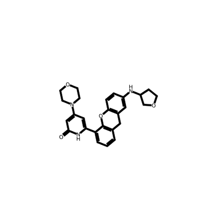 O=c1cc(N2CCOCC2)cc(-c2cccc3c2Oc2ccc(NC4CCOC4)cc2C3)[nH]1